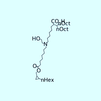 CCCCCCCCC(CCCCCCCC)C(CCCCCCN(CCO)CCCCCCCC(=O)OCC1CC1CCCCCC)C(=O)O